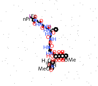 CCCC(I)(CC)C1CC(=O)N(CCC(=O)NCC(=O)NCC(=O)N[C@@H](Cc2ccccc2)C(=O)NCC(=O)NCOCC(=O)NC23CC(NC(=O)[C@]4(O)Cc5c(O)c6c(c(O)c5[C@@H](O[C@H]5C[C@H]7[C@H](O[C@@H]8[C@@H](OC)OCCN87)[C@H](C)O5)C4)C(=O)c4c(OC)cccc4C6=O)(C2)C3)C1=O